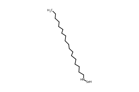 CCCCCCCCCCCCCCCCCCN[SeH]